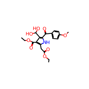 CCOC(=O)Cc1[nH]c(C(=O)c2ccc(OC)cc2)c(C(O)O)c1C(=O)OCC